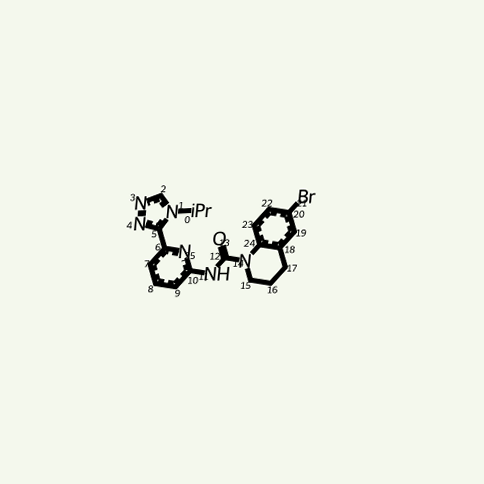 CC(C)n1cnnc1-c1cccc(NC(=O)N2CCCc3cc(Br)ccc32)n1